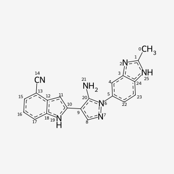 Cc1nc2cc(-n3ncc(-c4cc5c(C#N)cccc5[nH]4)c3N)ccc2[nH]1